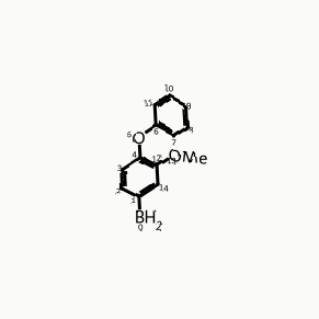 Bc1ccc(Oc2ccccc2)c(OC)c1